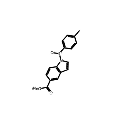 COC(=O)c1ccc2c(ccn2[S+]([O-])c2ccc(C)cc2)c1